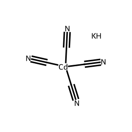 N#[C][Cd]([C]#N)([C]#N)[C]#N.[KH]